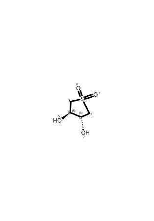 O=S1(=O)C[C@H](O)[C@@H](O)C1